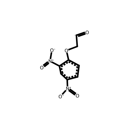 O=[C]COc1ccc([N+](=O)[O-])cc1[N+](=O)[O-]